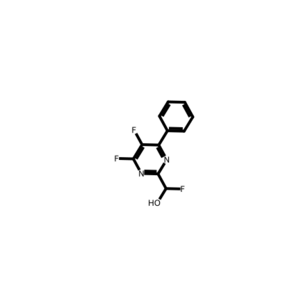 OC(F)c1nc(F)c(F)c(-c2ccccc2)n1